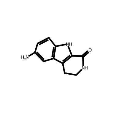 Nc1ccc2[nH]c3c(c2c1)CCNC3=O